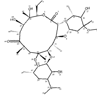 CC[C@H]1OC(=O)[C@H](C)[C@@H](O[C@H]2CC(C)(OC)C(O)[C@@H](C)O2)[C@H](C)[C@@H](O[C@@H]2O[C@@H](C)CC(N(C)C)C2O)[C@](C)(OC)C[C@@H](C)C(=O)[C@H](C)[C@@H](O)[C@]1(C)O